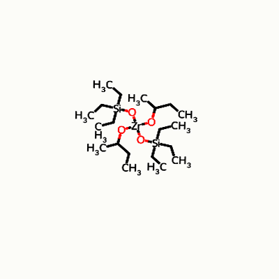 CCC(C)[O][Zr]([O]C(C)CC)([O][Si](CC)(CC)CC)[O][Si](CC)(CC)CC